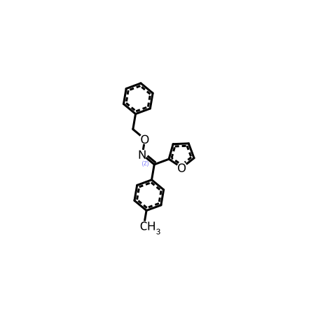 Cc1ccc(/C(=N/OCc2ccccc2)c2ccco2)cc1